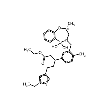 CCOC(=O)CC(CCc1cnn(CC)c1)c1ccc(C)c(CN2C[C@@H](C)Oc3ccccc3S2(O)O)c1